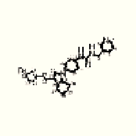 O=C(NCc1cccnc1)Nc1ccc(-n2cc(CCN3CC[C@@H](F)C3)c3ccccc32)cc1